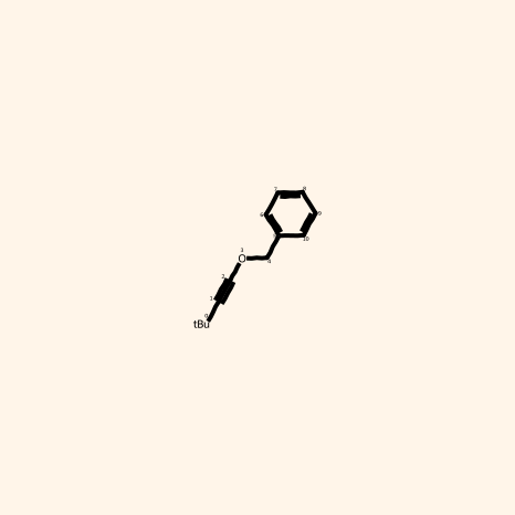 CC(C)(C)C#COCc1ccccc1